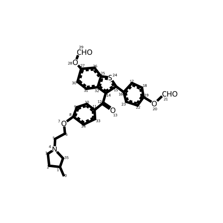 CC1CCN(CCOc2ccc(C(=O)c3c(-c4ccc(OC=O)cc4)sc4cc(OC=O)ccc34)cc2)C1